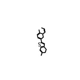 C/C=C\C1CC(c2cc3c(s2)C=C(C)CC3)=CC=C1C